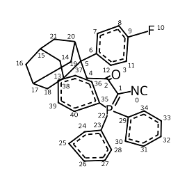 [C-]#[N+]C(C(=O)CC1(c2ccc(F)cc2)C2CC3CC(C2)CC1C3)=P(c1ccccc1)(c1ccccc1)c1ccccc1